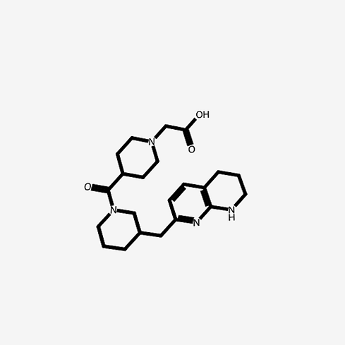 O=C(O)CN1CCC(C(=O)N2CCCC(Cc3ccc4c(n3)NCCC4)C2)CC1